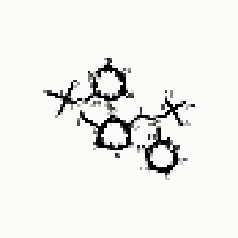 CC(C)(C)P(Cc1cccc(CP(c2ccccn2)C(C)(C)C)c1)c1ccccn1